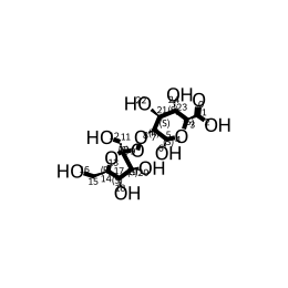 O=C(O)[C@H]1O[C@H](O)[C@H](OO[C@]2(CO)O[C@H](CO)[C@@H](O)[C@@H]2O)[C@@H](O)[C@@H]1O